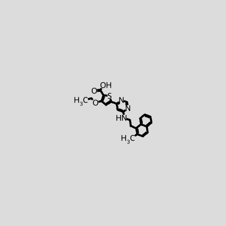 CCOc1cc(-c2cc(NCCc3c(C)ccc4ccccc34)ncn2)sc1C(=O)O